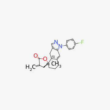 C=C1C[C@@]2(CCCC3=Cc4c(cnn4-c4ccc(F)cc4)C[C@@]32C)OC1=O